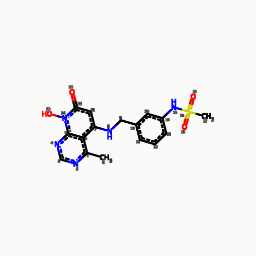 Cc1ncnc2c1c(NCc1cccc(NS(C)(=O)=O)c1)cc(=O)n2O